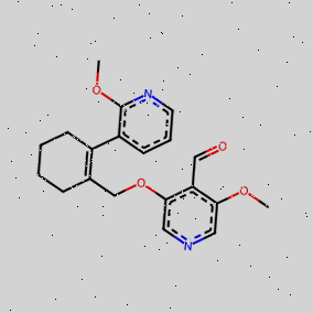 COc1cncc(OCC2=C(c3cccnc3OC)CCCC2)c1C=O